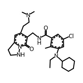 CCN(c1cc(Cl)cc(C(=O)NCc2c(CCN(C)C)cc3n(c2=O)NCC3)c1C)C1CCCCC1